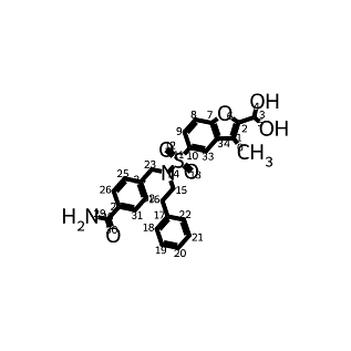 Cc1c(C(O)O)oc2ccc(S(=O)(=O)N(CCc3ccccc3)Cc3ccc(C(N)=O)cc3)cc12